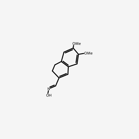 COc1cc2c(cc1OC)CCC(/C=N/O)=C2